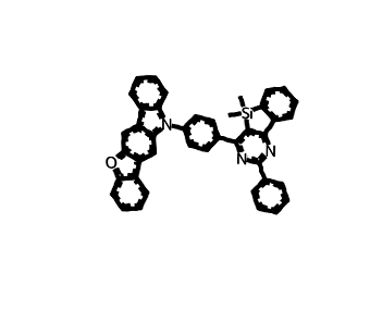 C[Si]1(C)c2ccccc2-c2nc(-c3ccccc3)nc(-c3ccc(-n4c5ccccc5c5cc6oc7ccccc7c6cc54)cc3)c21